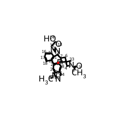 CC(=O)N1CC2(CC(c3nn(CC(=O)O)c4cccc(-c5cc6c(cnn6C)cc5F)c34)C2)C1